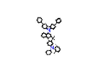 Cc1cccc(C)c1N(c1ccccc1)c1ccc2c(c1)C(C)(C)c1cc(-n3c4ccc(-c5ccccc5)cc4c4cc(-c5ccccc5)ccc43)c3ccccc3c1-2